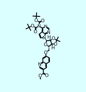 COC(=O)c1cnc2cc(OC[C@H]3O[C@@H](n4ccc5c(N(C(=O)OC(C)(C)C)C(=O)OC(C)(C)C)ncnc54)[C@@H]4OC(C)(C)O[C@@H]43)ccc2c1